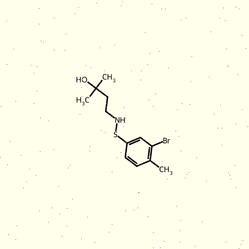 Cc1ccc(SNCCC(C)(C)O)cc1Br